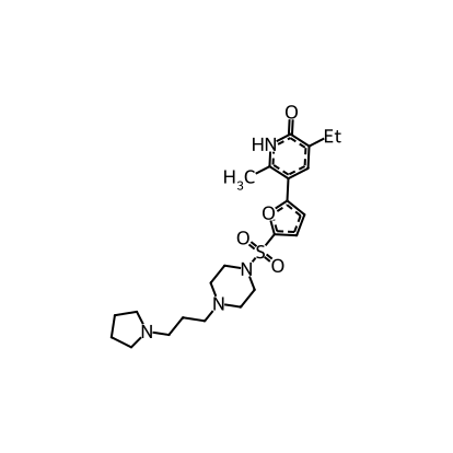 CCc1cc(-c2ccc(S(=O)(=O)N3CCN(CCCN4CCCC4)CC3)o2)c(C)[nH]c1=O